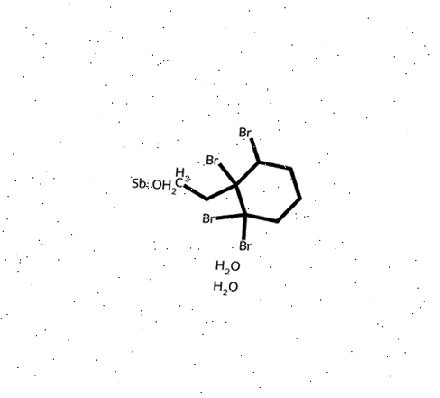 CCC1(Br)C(Br)CCCC1(Br)Br.O.O.O.[Sb]